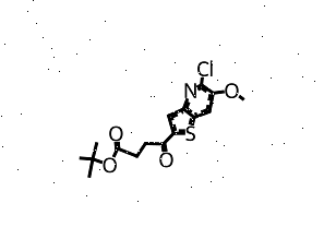 COc1cc2sc(C(=O)CCC(=O)OC(C)(C)C)cc2nc1Cl